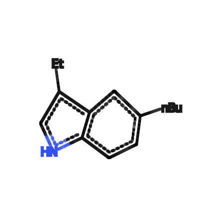 CCCCc1ccc2[nH]cc(CC)c2c1